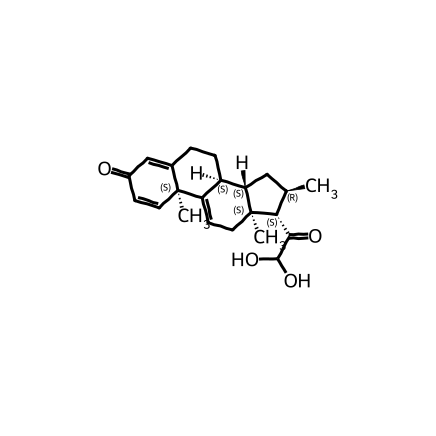 C[C@@H]1C[C@H]2[C@@H]3CCC4=CC(=O)C=C[C@]4(C)C3=CC[C@]2(C)[C@H]1C(=O)C(O)O